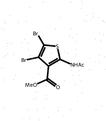 COC(=O)c1c(NC(C)=O)sc(Br)c1Br